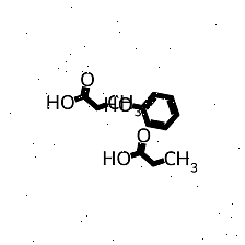 CCC(=O)O.CCC(=O)O.Oc1ccccc1